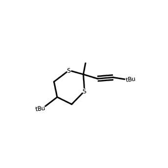 CC(C)(C)C#CC1(C)SCC(C(C)(C)C)CS1